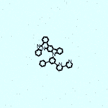 c1ccc(-c2cc(-c3cccc(-c4cccnc4)n3)cc(-n3c4ccccc4c4cc5c6ccccc6c6nc7ccccc7n6c5cc43)c2)cc1